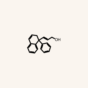 OCC=CC1(c2ccccc2)CC=Cc2ccccc21